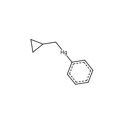 c1cc[c]([Hg][CH2]C2CC2)cc1